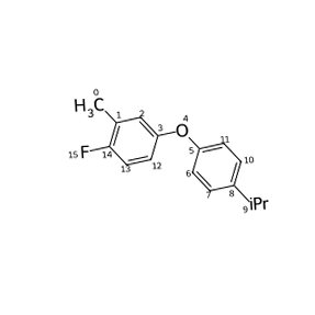 Cc1cc(Oc2ccc(C(C)C)cc2)ccc1F